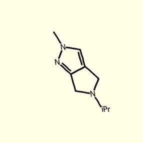 CC(C)N1Cc2cn(C)nc2C1